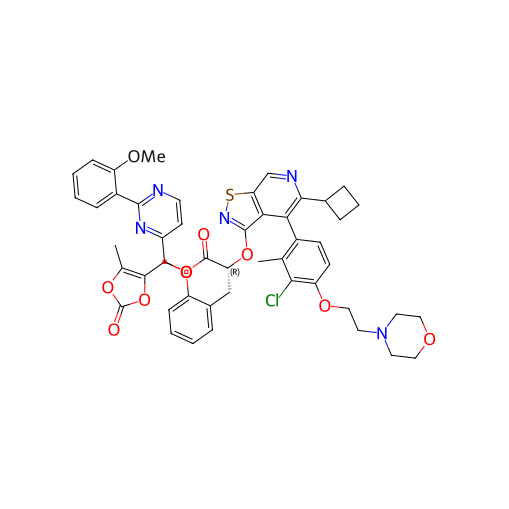 COc1ccccc1-c1nccc(COc2ccccc2C[C@@H](Oc2nsc3cnc(C4CCC4)c(-c4ccc(OCCN5CCOCC5)c(Cl)c4C)c23)C(=O)OCc2oc(=O)oc2C)n1